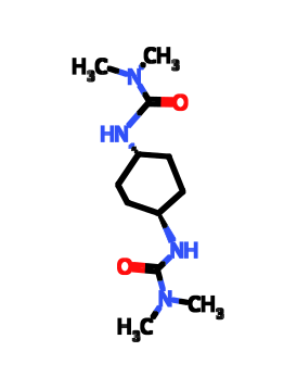 CN(C)C(=O)N[C@H]1CC[C@H](NC(=O)N(C)C)CC1